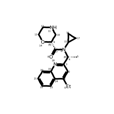 CCc1cc([C@@H](C)N(C(=O)[C@H]2CNCCO2)C2CC2)nc2ccccc12